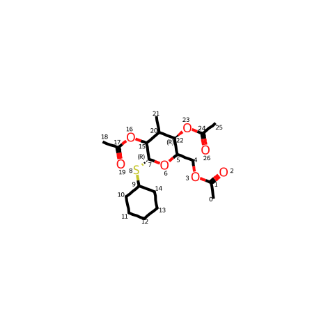 CC(=O)OCC1O[C@H](SC2CCCCC2)C(OC(C)=O)C(C)[C@H]1OC(C)=O